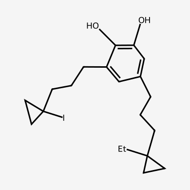 CCC1(CCCc2cc(O)c(O)c(CCCC3(I)CC3)c2)CC1